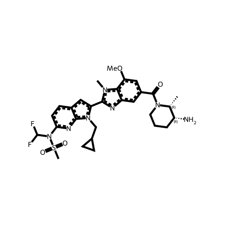 COc1cc(C(=O)N2CCC[C@@H](N)[C@H]2C)cc2nc(-c3cc4ccc(N(C(F)F)S(C)(=O)=O)nc4n3CC3CC3)n(C)c12